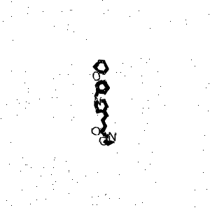 O=C(CCCC1CCN(Cc2cccc(OC3CCCCC3)c2)CC1)c1ncco1